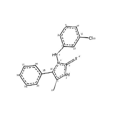 Cc1[nH]c(=S)n(Nc2cccc(Cl)c2)c1-c1ccccc1